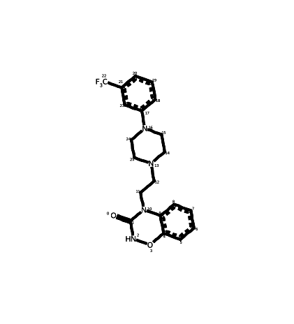 O=C1NOc2ccccc2N1CCN1CCN(c2cccc(C(F)(F)F)c2)CC1